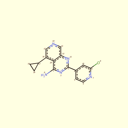 Nc1nc(-c2ccnc(Cl)c2)nc2cncc(C3CC3)c12